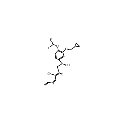 C=C/N=C\C(Cl)=C(/Cl)CC(O)c1ccc(OC(F)F)c(OCC2CC2)c1